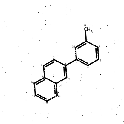 Cc1cccc(-c2ccc3ccccc3c2)c1